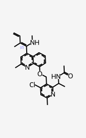 C=C/C(C)=C(\NC)c1cc(C)nc2c(OCc3c(Cl)cc(C)nc3C(C)NC(C)=O)cccc12